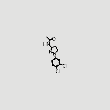 CC(=O)NC1=NN(c2ccc(Cl)c(Cl)c2)CC1